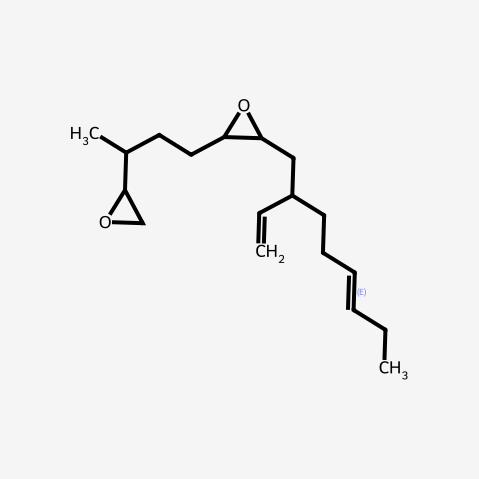 C=CC(CC/C=C/CC)CC1OC1CCC(C)C1CO1